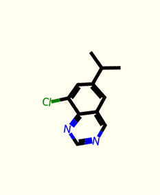 CC(C)c1cc(Cl)c2ncncc2c1